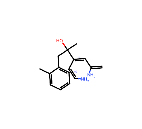 C=C(N)/C=C(\C=C/N)C(C)(O)Cc1ccccc1C